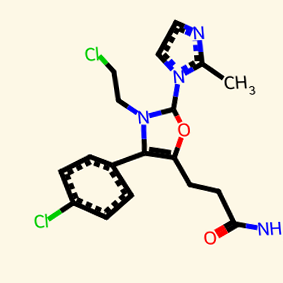 Cc1nccn1C1OC(CCC(N)=O)=C(c2ccc(Cl)cc2)N1CCCl